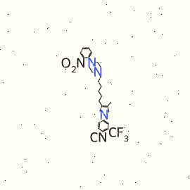 CC1=C(CCCCCCN2CCN(c3ccccc3[N+](=O)[O-])CC2)CN(c2ccc(C#N)c(C(F)(F)F)c2)C1